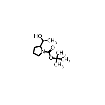 C[C@H](O)C1CCCN1C(=O)OC(C)(C)C